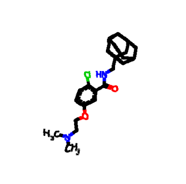 CN(C)CCOc1ccc(Cl)c(C(=O)NCC23CC4CC(CC(C4)C2)C3)c1